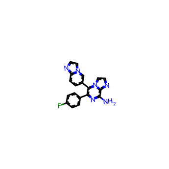 Nc1nc(-c2ccc(F)cc2)c(-c2ccc3nccn3c2)n2ccnc12